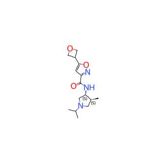 CC(C)N1C[C@H](C)[C@H](NC(=O)c2cc(C3COC3)on2)C1